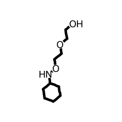 OCCOCCONC1CCCCC1